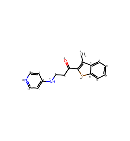 Cc1c(C(=O)CCNc2ccncc2)sc2ccccc12